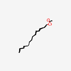 C=CCCCCCCCCCCCCOC(C)=O